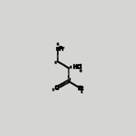 Cl.[CH2]CC(=O)CCCCC